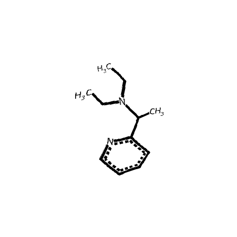 CCN(CC)C(C)c1ccccn1